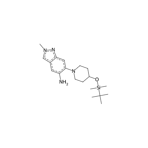 Cn1cc2cc(N)c(N3CCC(O[Si](C)(C)C(C)(C)C)CC3)cc2n1